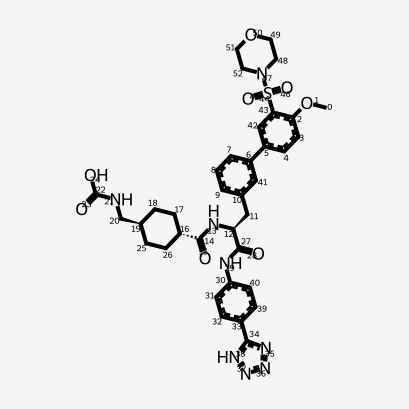 COc1ccc(-c2cccc(C[C@H](NC(=O)[C@H]3CC[C@H](CNC(=O)O)CC3)C(=O)Nc3ccc(-c4nnn[nH]4)cc3)c2)cc1S(=O)(=O)N1CCOCC1